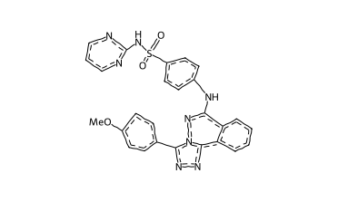 COc1ccc(-c2nnc3c4ccccc4c(Nc4ccc(S(=O)(=O)Nc5ncccn5)cc4)nn23)cc1